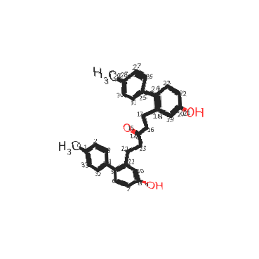 Cc1ccc(-c2ccc(O)cc2CCC(=O)CCc2cc(O)ccc2-c2ccc(C)cc2)cc1